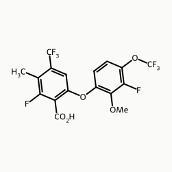 COc1c(Oc2cc(C(F)(F)F)c(C)c(F)c2C(=O)O)ccc(OC(F)(F)F)c1F